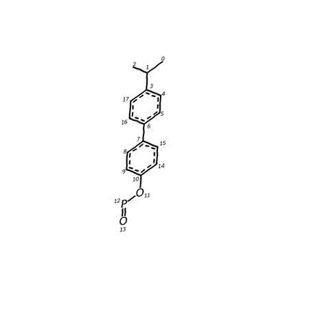 CC(C)c1ccc(-c2ccc(OP=O)cc2)cc1